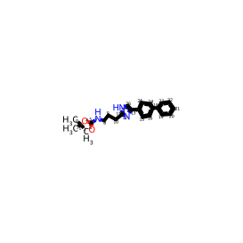 CC(C)(C)OC(=O)NCCCc1nc(-c2ccc(-c3ccccc3)cc2)c[nH]1